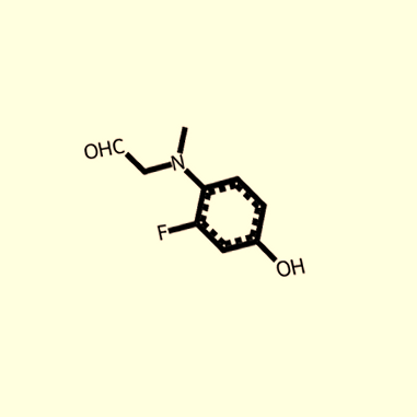 CN(CC=O)c1ccc(O)cc1F